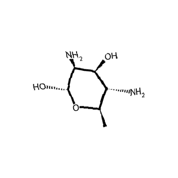 C[C@H]1O[C@H](O)[C@@H](N)[C@@H](O)[C@@H]1N